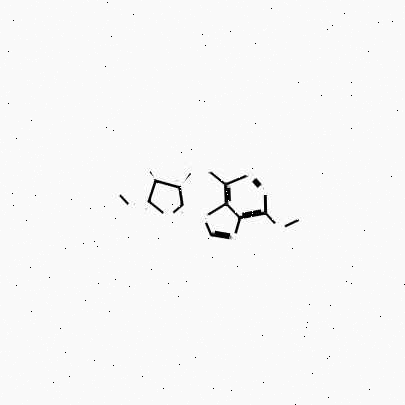 COc1nnc(Cl)c2c1ncn2[C@@H]1O[C@H](CO)[C@@H](O)[C@H]1O